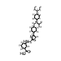 CCC(CC)c1ccc(N(Cc2ccc(-c3csc(CNc4cccc(C(=O)O)c4)n3)cc2)C(C)C)cc1